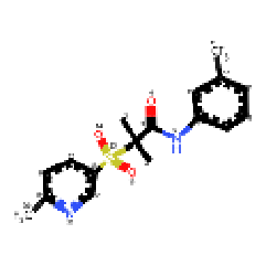 CC(C)(C(=O)Nc1cccc(C(F)(F)F)c1)S(=O)(=O)c1ccc(C(F)(F)F)nc1